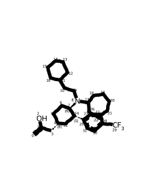 C=C(O)C[C@@H]1CC[C@@H](N(CCC2CCCCC2)C2CCCCCC2)[C@H](c2ccc(C(F)(F)F)cc2)C1